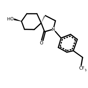 O=C1N(c2ccc(CC(F)(F)F)cc2)CC[C@]12CC[C@H](O)CC2